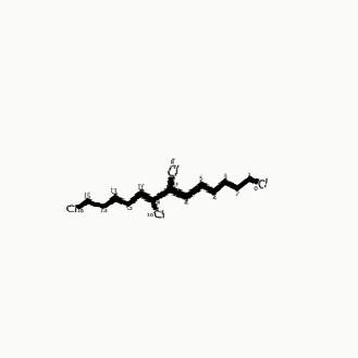 ClCCCCCCC(Cl)C(Cl)CCCCCCl